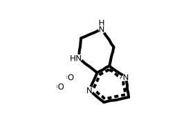 [O].[O].c1cnc2c(n1)CNCN2